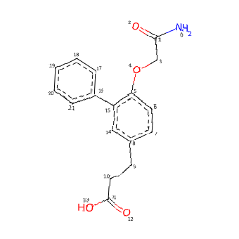 NC(=O)COc1ccc(CCC(=O)O)cc1-c1ccccc1